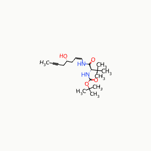 CC#CC[C@H](O)C/C=C\NC(=O)[C@@H](NC(=O)OC(C)(C)C)C(C)(C)C